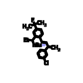 C=C(/C=C/c1ccc(C(C)(C)F)cc1C(CC)CCCC)c1cccc(Cl)c1